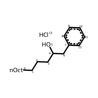 CCCCCCCCCCCC(O)Cc1ccccc1.Cl